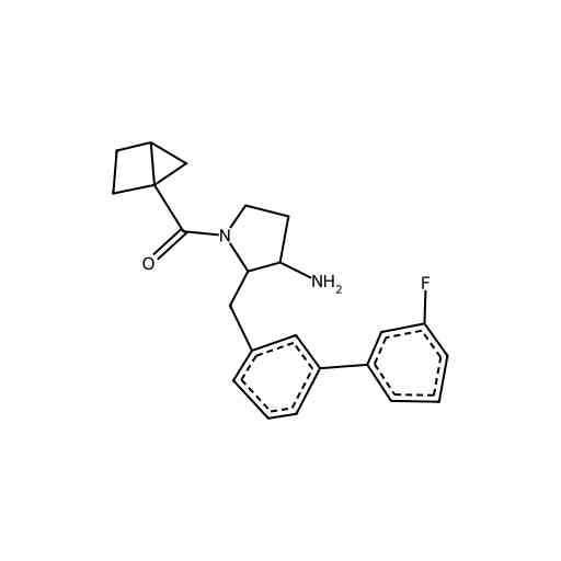 NC1CCN(C(=O)C23CCC2C3)C1Cc1cccc(-c2cccc(F)c2)c1